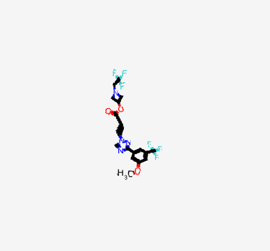 COc1cc(-c2ncn(C=CC(=O)OC3CN(CC(F)(F)F)C3)n2)cc(C(F)(F)F)c1